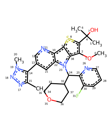 COc1c(C(C)(C)O)sc2c3ncc(-c4c(C)nnn4C)cc3n(C(c3ncccc3F)C3CCOCC3)c12